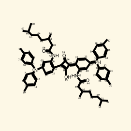 Cc1ccc(N(c2ccc(C)cc2)c2ccc(C3=C(O)/C(=C4/C=CC(=[PH](c5ccc(C)cc5)c5ccc(C)cc5)C=C4NC(=O)CC(C)CCCC(C)C)C3=O)c(NC(=O)CC(C)CCCC(C)C)c2)cc1